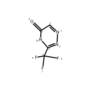 O=C1[C]=NN=C(C(F)(F)F)[N]1